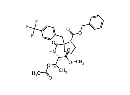 COC(=O)[C@@H](NC(=O)C1(Cc2ccc(C(F)(F)F)cc2)CCCN1C(=O)OCc1ccccc1)[C@@H](C)OC(C)=O